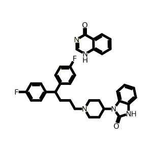 O=c1[nH]c2ccccc2n1C1CCN(CCCC(c2ccc(F)cc2)c2ccc(F)cc2)CC1.O=c1nc[nH]c2ccccc12